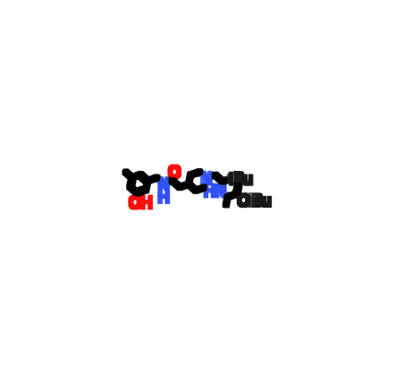 C=C(OCC(C)C)C(C)NC(CN1CCC(CC(=O)NCc2cc(C)cc(O)c2)CC1)C(C)(C)C